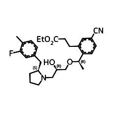 CCOC(=O)CCc1cc(C#N)ccc1[C@@H](C)OC[C@H](O)CN1CCC[C@H]1Cc1ccc(C)c(F)c1